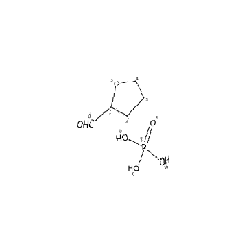 O=CC1CCCO1.O=P(O)(O)O